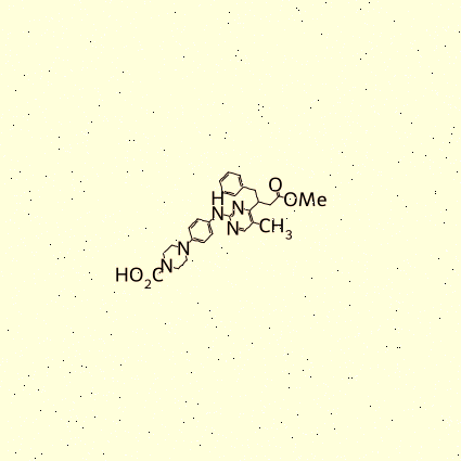 COC(=O)CC(Cc1ccccc1)c1nc(Nc2ccc(N3CCN(C(=O)O)CC3)cc2)ncc1C